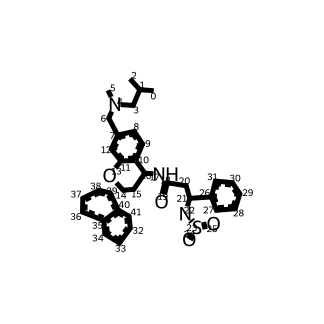 CC(C)CN(C)Cc1ccc2c(c1)OCCC2NC(=O)CC(N=S(=O)=O)c1ccccc1.c1ccc2ccccc2c1